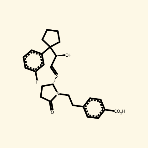 O=C(O)c1ccc(CCN2C(=O)CC[C@@H]2/C=C/[C@H](O)C2(c3cccc(F)c3)CCCC2)cc1